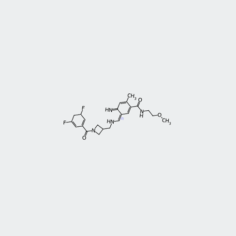 COCCNC(=O)C1=C/C(=C/NCC2CN(C(=O)C3=CC(F)CC(F)=C3)C2)C(=N)C=C1C